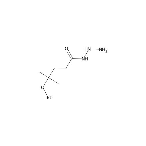 CCOC(C)(C)CCC(=O)NNN